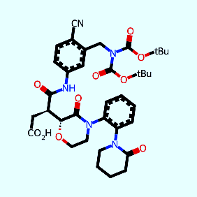 CC(C)(C)OC(=O)N(Cc1cc(NC(=O)[C@H](CC(=O)O)[C@H]2OCCN(c3ccccc3N3CCCCC3=O)C2=O)ccc1C#N)C(=O)OC(C)(C)C